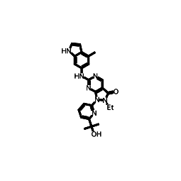 CCn1c(=O)c2cnc(Nc3cc(C)c4cc[nH]c4c3)nc2n1-c1cccc(C(C)(C)O)n1